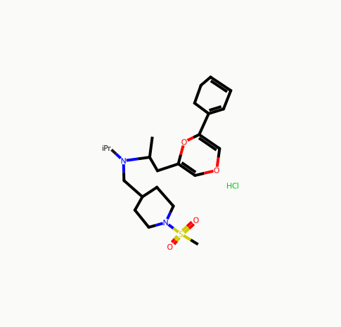 CC(C)N(CC1CCN(S(C)(=O)=O)CC1)C(C)CC1=COC=C(C2=CC=CCC2)O1.Cl